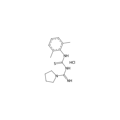 Cc1cccc(C)c1NC(=S)NC(=N)N1CCCC1.Cl